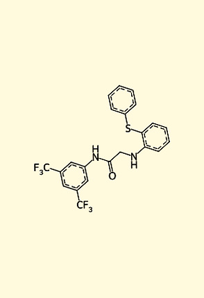 O=C(CNc1ccccc1Sc1ccccc1)Nc1cc(C(F)(F)F)cc(C(F)(F)F)c1